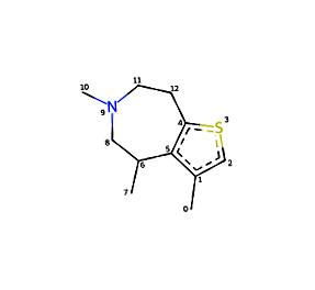 Cc1csc2c1C(C)CN(C)CC2